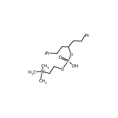 CC(C)CCC(CCC(C)C)OP(=O)(O)OCC[N+](C)(C)C